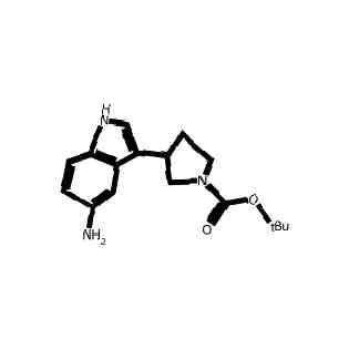 CC(C)(C)OC(=O)N1CCC(c2c[nH]c3ccc(N)cc23)C1